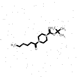 CCCCCC(=O)N1CCN(C(=O)OC(C)(C)C)CC1